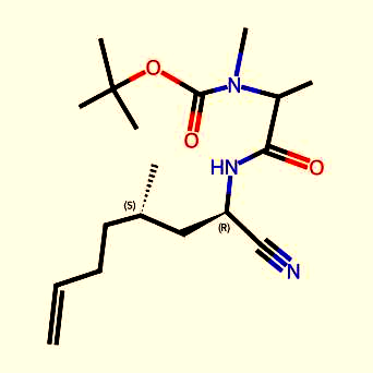 C=CCC[C@H](C)C[C@H](C#N)NC(=O)C(C)N(C)C(=O)OC(C)(C)C